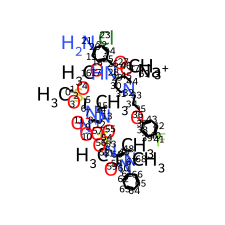 CCS(=O)(=O)CCn1c([N+](=O)[O-])cnc1C.COc1cc(N)c(Cl)cc1C(=O)NC1CCN(CCCOc2ccc(F)cc2)CC1OC.Cc1c(N(C)CS(=O)(=O)[O-])c(=O)n(-c2ccccc2)n1C.[Na+]